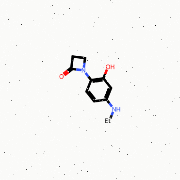 CCNc1ccc(N2CCC2=O)c(O)c1